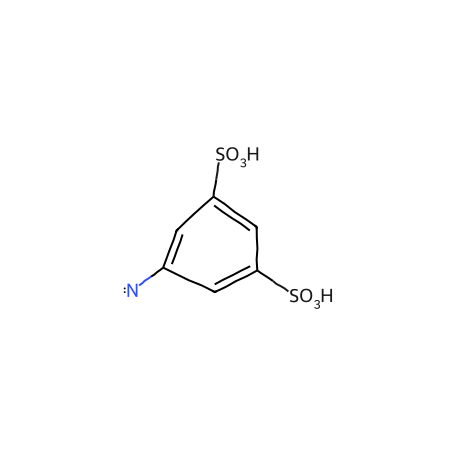 [N]c1cc(S(=O)(=O)O)cc(S(=O)(=O)O)c1